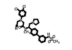 CN(C(=O)CN(CC#N)c1ccc(Cl)c(Cl)c1)C(CN1CCCC1)c1ccc(-c2cccc(NS(C)(=O)=O)c2)cc1